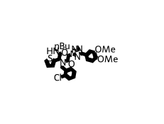 CCCCNC(=O)C(c1cccs1)N(Cc1ccccc1Cl)C(=O)Cn1nnc(-c2ccc(OC)c(OC)c2)n1